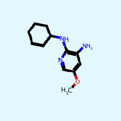 COc1cnc(NC2CCCCC2)c(N)c1